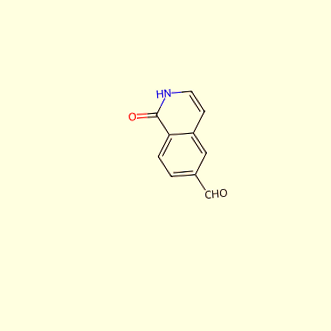 O=Cc1ccc2c(=O)[nH]ccc2c1